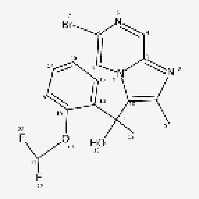 Cc1nc2cnc(Br)cn2c1C(C)(O)c1ccccc1OC(F)F